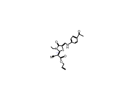 C=CCOC(=O)/C(C#N)=c1\sc(=CNc2ccc(C(C)=O)cc2)c(=O)n1CC